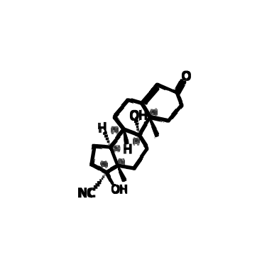 C[C@]12CCC(=O)C=C1CC[C@H]1[C@@H]3CC[C@@](O)(C#N)[C@@]3(C)CC[C@@]12O